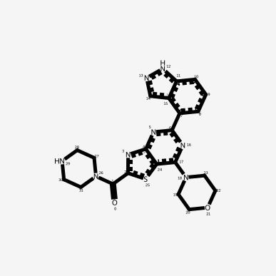 O=C(c1nc2nc(-c3cccc4[nH]ncc34)nc(N3CCOCC3)c2s1)N1CCNCC1